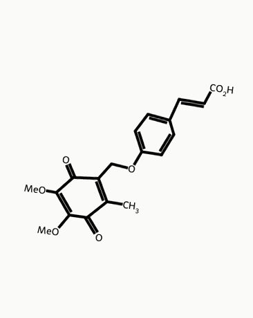 COC1=C(OC)C(=O)C(COc2ccc(C=CC(=O)O)cc2)=C(C)C1=O